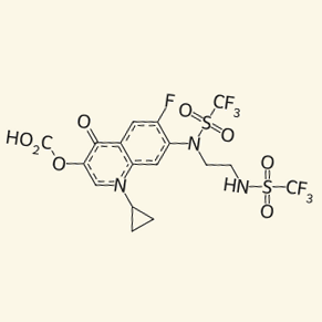 O=C(O)Oc1cn(C2CC2)c2cc(N(CCNS(=O)(=O)C(F)(F)F)S(=O)(=O)C(F)(F)F)c(F)cc2c1=O